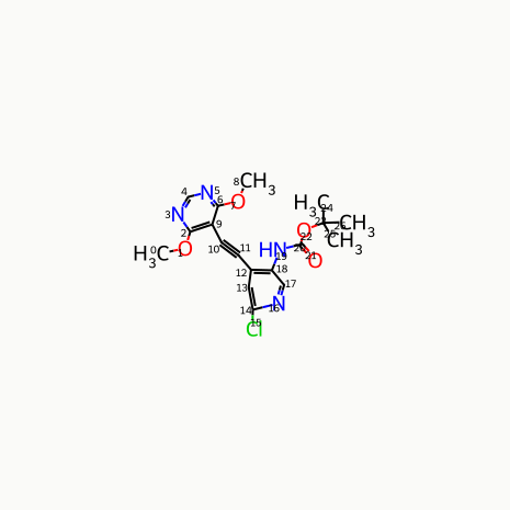 COc1ncnc(OC)c1C#Cc1cc(Cl)ncc1NC(=O)OC(C)(C)C